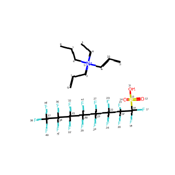 CCC[N+](CC)(CCC)CCC.O=S(=O)(O)C(F)(F)C(F)(F)C(F)(F)C(F)(F)C(F)(F)C(F)(F)C(F)(F)C(F)(F)F